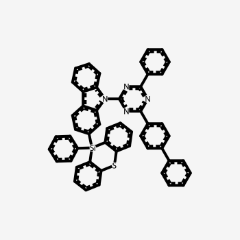 c1ccc(-c2ccc(-c3nc(-c4ccccc4)nc(-n4c5ccccc5c5ccc([Si]6(c7ccccc7)c7ccccc7Sc7ccccc76)cc54)n3)cc2)cc1